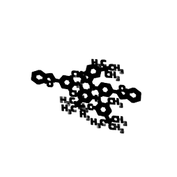 Cc1cc(C(C)(C)C)cc(C)c1N1c2cc(-c3cc4ccccc4o3)ccc2B2c3c1cc(C(C)(C)C)cc3N(c1c(C)cc(-c3cc4ccccc4o3)cc1C)c1oc3ccc(C(C)(C)C)cc3c12